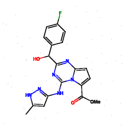 COC(=O)c1ccc2nc(C(O)c3ccc(F)cc3)nc(Nc3cc(C)[nH]n3)n12